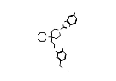 O=C(O)Cc1ccc(Cl)c(OCCC2(N3CCOCC3)CCN(c3nc4ccc(C(F)(F)F)cc4s3)CC2)c1